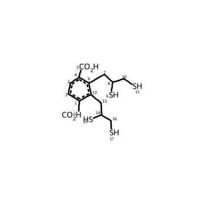 O=C(O)c1ccc(C(=O)O)c(CC(S)CS)c1CC(S)CS